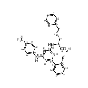 O=C(O)C(CSCc1ccccc1)Nc1nc(Nc2ccc(C(F)(F)F)cc2)nc(-c2ccccc2F)n1